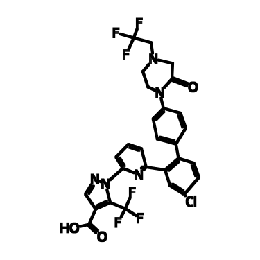 O=C(O)c1cnn(-c2cccc(-c3cc(Cl)ccc3-c3ccc(N4CCN(CC(F)(F)F)CC4=O)cc3)n2)c1C(F)(F)F